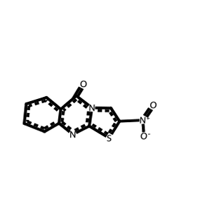 O=c1c2ccccc2nc2sc([N+](=O)[O-])cn12